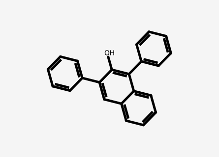 Oc1c(-c2ccccc2)cc2ccccc2c1-c1ccccc1